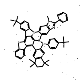 Cn1c(-c2ccccc2)nc2cc3c(cc21)-n1c2ccc(C(C)(C)C)cc2c2c4sc5ccccc5c4c4c(c21)B3N(c1ccc(C(C)(C)C)cc1)c1cc2c(cc1-4)C(C)(C)CCC2(C)C